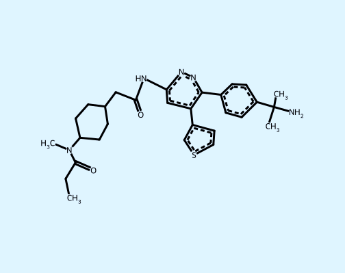 CCC(=O)N(C)C1CCC(CC(=O)Nc2cc(-c3ccsc3)c(-c3ccc(C(C)(C)N)cc3)nn2)CC1